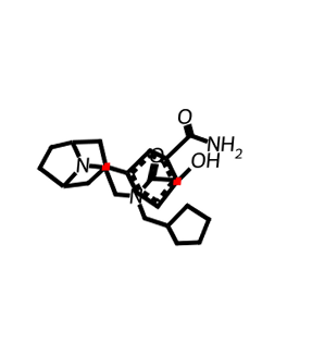 NC(=O)c1cccc(C2CC3CCC(C2)N3CCN(CC2CCCC2)C(=O)CO)c1